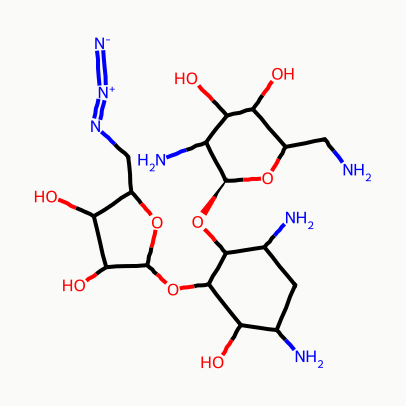 [N-]=[N+]=NCC1OC(OC2C(O)C(N)CC(N)C2O[C@@H]2OC(CN)C(O)C(O)C2N)C(O)C1O